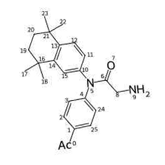 CC(=O)c1ccc(N(C(=O)CN)c2ccc3c(c2)C(C)(C)CCC3(C)C)cc1